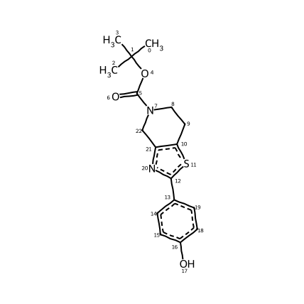 CC(C)(C)OC(=O)N1CCc2sc(-c3ccc(O)cc3)nc2C1